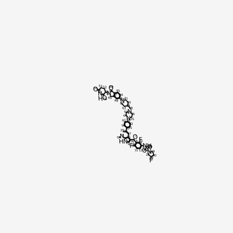 C=Nc1[nH]cc(C(=O)c2c(F)ccc(NS(=O)(=O)N3CC[C@@H](F)C3)c2F)c1/C=C(\C)c1ccc(N2CCN(CC3CCN(c4ccc5c(c4)CN(C4CCC(=O)NC4=O)C5=O)CC3)CC2)cc1